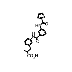 CC(Cc1cccc(NC(=O)c2cccc(NC(=O)c3cccs3)c2)c1)C(=O)O